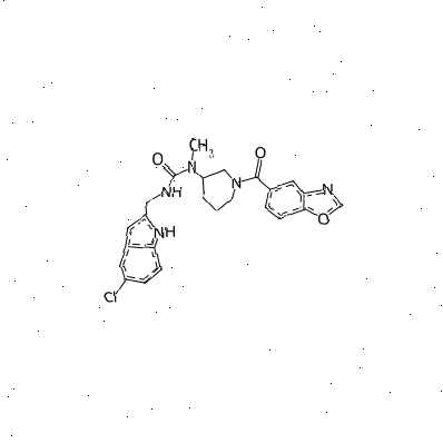 CN(C(=O)NCc1cc2cc(Cl)ccc2[nH]1)C1CCCN(C(=O)c2ccc3ocnc3c2)C1